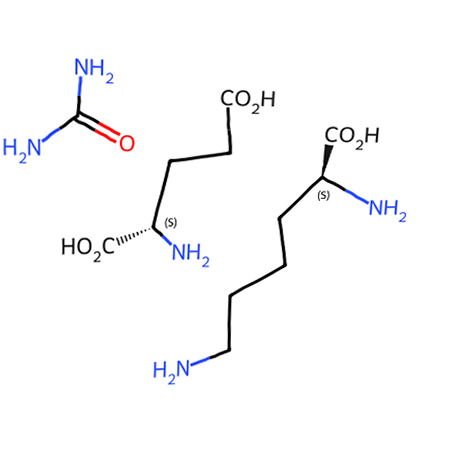 NC(N)=O.NCCCC[C@H](N)C(=O)O.N[C@@H](CCC(=O)O)C(=O)O